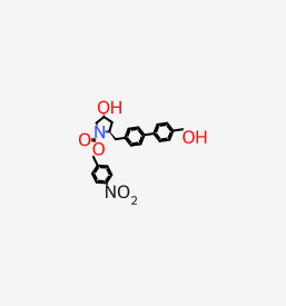 O=C(OCc1ccc([N+](=O)[O-])cc1)N1C[C@H](O)C[C@H]1Cc1ccc(-c2ccc(CO)cc2)cc1